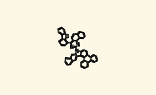 c1ccc2cc3c(cc2c1)c1c2c4ccccc4c4ccccc4c2ccc1n3-c1nc(-c2cccc3c2oc2ccccc23)c2ccc3ccccc3c2n1